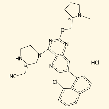 CN1CCC[C@H]1COc1nc(N2CCN[C@@H](CC#N)C2)c2ncc(-c3cccc4cccc(Cl)c34)cc2n1.Cl